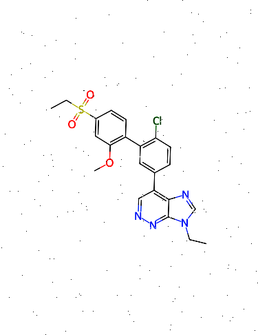 CCn1cnc2c(-c3ccc(Cl)c(-c4ccc(S(=O)(=O)CC)cc4OC)c3)cnnc21